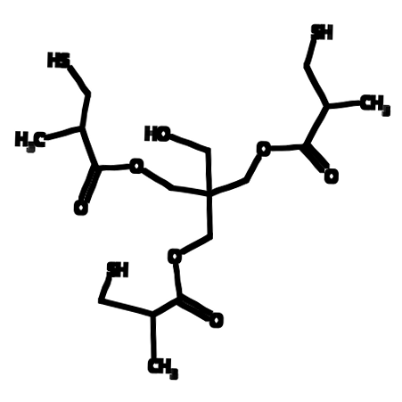 CC(CS)C(=O)OCC(CO)(COC(=O)C(C)CS)COC(=O)C(C)CS